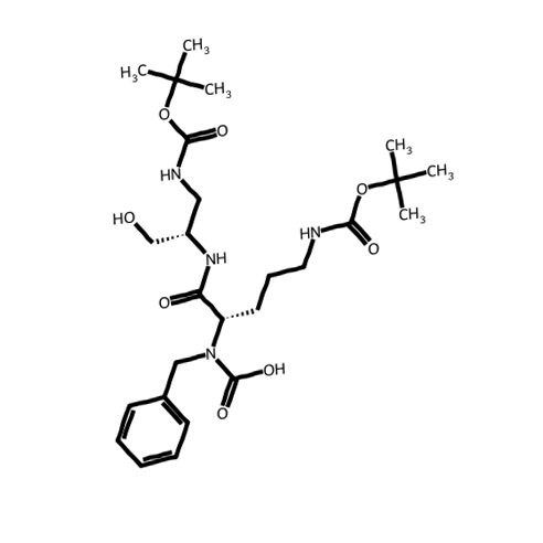 CC(C)(C)OC(=O)NCCC[C@@H](C(=O)N[C@H](CO)CNC(=O)OC(C)(C)C)N(Cc1ccccc1)C(=O)O